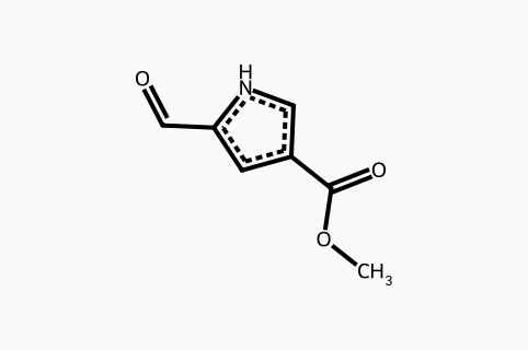 COC(=O)c1c[nH]c(C=O)c1